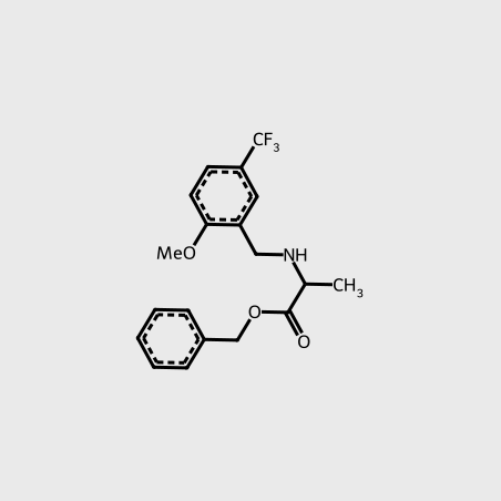 COc1ccc(C(F)(F)F)cc1CNC(C)C(=O)OCc1ccccc1